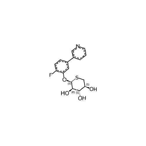 O[C@@H]1[C@@H](O)[C@@H](Oc2cc(-c3cccnc3)ccc2F)SC[C@H]1O